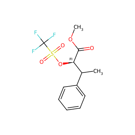 COC(=O)[C@H](OS(=O)(=O)C(F)(F)F)C(C)c1ccccc1